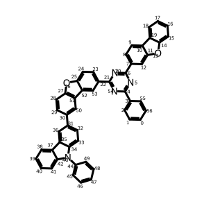 c1ccc(-c2nc(-c3ccc4c(c3)oc3ccccc34)nc(-c3ccc4oc5ccc(-c6ccc7c(c6)c6ccccc6n7-c6ccccc6)cc5c4c3)n2)cc1